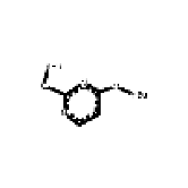 CCCCOc1ccnc(OCCCC)n1